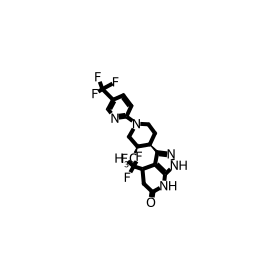 C[C@H]1CN(c2ccc(C(F)(F)F)cn2)CC[C@H]1c1n[nH]c2c1C(C(F)(F)F)CC(=O)N2